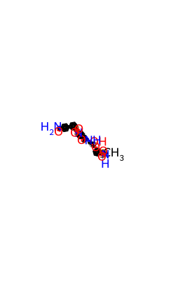 CNS(=O)(=O)c1cccc(OC[C@@H](O)CNC2COC3(CCN(S(=O)(=O)c4cccc(-c5ccc(C(N)=O)cc5)c4)CC3)C2)c1